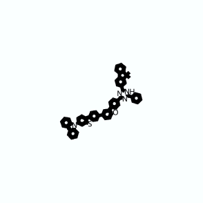 CC1(C)c2ccccc2-c2ccc(C3N=C(c4ccc5c(c4)oc4ccc(-c6ccc7c(c6)sc6cc(-n8c9ccccc9c9ccccc98)ccc67)cc45)N=C(c4ccccc4)N3)cc21